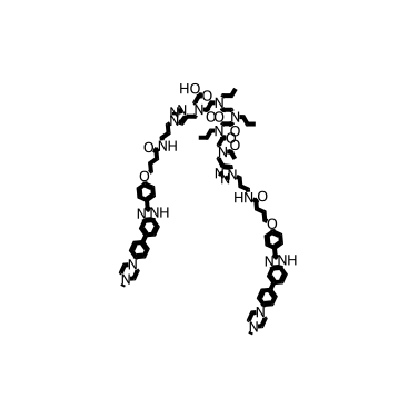 CCCN(CC(=O)N(CCC)CC(=O)N(CCC)CC(=O)N(CC(=O)O)Cc1cn(CCCNC(=O)CCCOc2ccc(-c3nc4cc(-c5ccc(N6CCN(C)CC6)cc5)ccc4[nH]3)cc2)nn1)C(=O)CN(Cc1cn(CCCNC(=O)CCCOc2ccc(-c3nc4cc(-c5ccc(N6CCN(C)CC6)cc5)ccc4[nH]3)cc2)nn1)C(C)=O